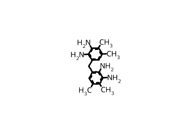 Cc1cc(Cc2cc(C)c(C)c(N)c2N)c(N)c(N)c1C